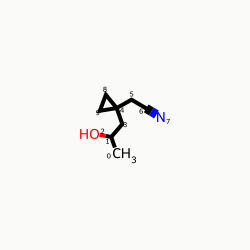 CC(O)CC1(CC#N)CC1